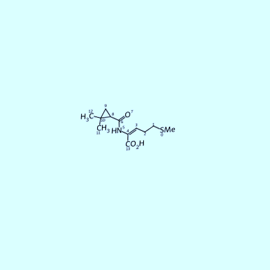 CSCCC=C(NC(=O)C1CC1(C)C)C(=O)O